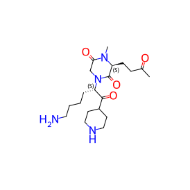 CC(=O)CC[C@H]1C(=O)N([C@@H](CCCCN)C(=O)C2CCNCC2)CC(=O)N1C